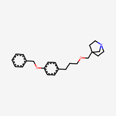 c1ccc(COc2ccc(CCCOCC34CCN(CC3)C4)cc2)cc1